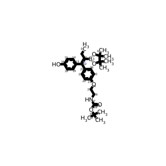 CC/C(B1OC(C)(C)C(C)(C)O1)=C(\c1ccc(O)cc1)c1ccc(OCCNC(=O)OC(C)(C)C)cc1